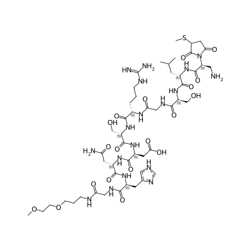 COCCOCCCNC(=O)CNC(=O)[C@H](Cc1c[nH]cn1)NC(=O)[C@H](CC(N)=O)NC(=O)[C@H](CC(=O)O)NC(=O)[C@H](CO)NC(=O)[C@H](CCCNC(=N)N)NC(=O)CNC(=O)[C@H](CO)NC(=O)[C@H](CC(C)C)NC(=O)[C@H](CN)N1C(=O)CC(SC)C1=O